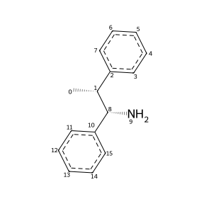 C[C@H](c1ccccc1)[C@H](N)c1ccccc1